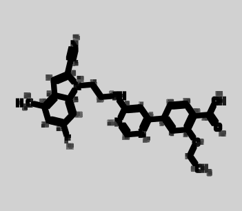 CCOc1cc(-c2cc(NCCn3c(C#N)cc4c(C)cc(F)cc43)ncn2)ccc1C(=O)O